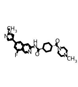 CN1CCN(C(=O)[C@H]2CC[C@H](C(=O)Nc3cc4cc(-c5cnn(C)c5)cc(F)c4cn3)CC2)CC1